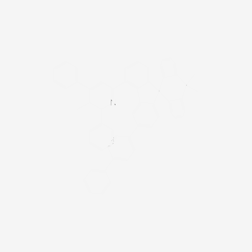 CC1C(c2ccccc2)=CC(c2cccc3c2-c2cc(-c4ccc(-c5ccccc5)cc4)ccc2C32c3ccccc3C(C)(C)c3ccccc32)=NC1c1ccccc1